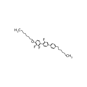 CCCCCCCCOc1ccc(-c2ccc(-c3ccc(CCCCCCC)cc3)cc2F)c(F)c1F